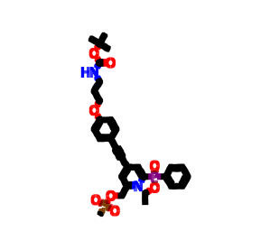 CCOP(=O)(c1ccccc1)c1cc(C#Cc2ccc(OCCCNC(=O)OC(C)(C)C)cc2)cc(COS(C)(=O)=O)n1